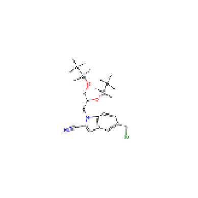 CC(C)(C)[Si](C)(C)OCC(Cn1c(C#N)cc2cc(CBr)ccc21)O[Si](C)(C)C(C)(C)C